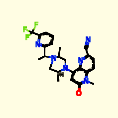 CC1CN(c2cc(=O)n(C)c3ccc(C#N)nc23)[C@@H](C)CN1C(C)c1cccc(C(F)(F)F)n1